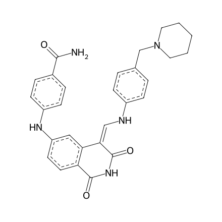 NC(=O)c1ccc(Nc2ccc3c(c2)/C(=C/Nc2ccc(CN4CCCCC4)cc2)C(=O)NC3=O)cc1